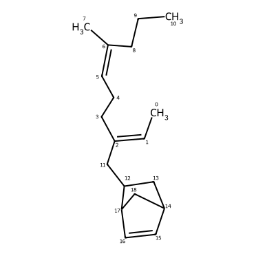 CC=C(CCC=C(C)CCC)CC1CC2C=CC1C2